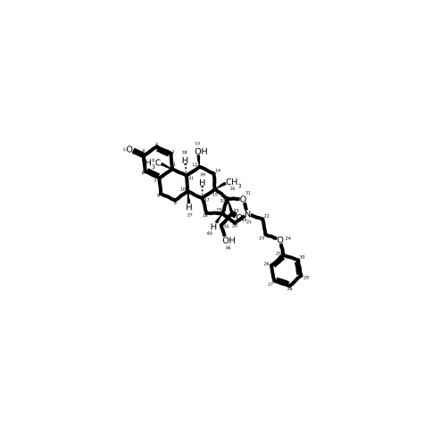 C[C@]12C=CC(=O)C=C1CC[C@@H]1[C@@H]2[C@@H](O)C[C@@]2(C)[C@H]1C[C@H]1CN(CCOc3ccccc3)O[C@]12C(=O)CO